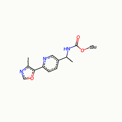 Cc1ncoc1-c1ccc(C(C)NC(=O)OC(C)(C)C)cn1